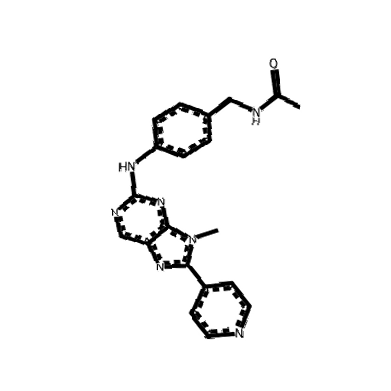 CC(=O)NCc1ccc(Nc2ncc3nc(-c4ccncc4)n(C)c3n2)cc1